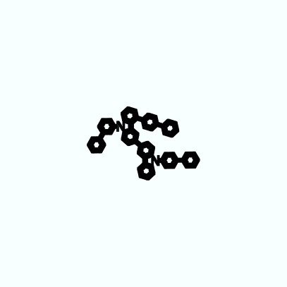 c1ccc(-c2ccc(-c3cccc4c3c3cc(-c5ccc6c(c5)c5ccccc5n6-c5ccc(-c6ccccc6)cc5)ccc3n4-c3cccc(-c4ccccc4)c3)cc2)cc1